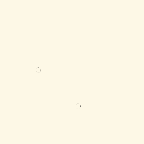 [C]1=C(c2cccc3c2OCC=C3)Cc2ccccc2O1